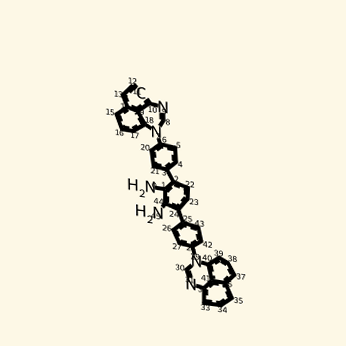 Nc1c(-c2ccc(N3C=Nc4cccc5cccc3c45)cc2)ccc(-c2ccc(N3C=Nc4cccc5cccc3c45)cc2)c1N